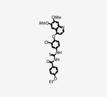 CCOc1ccc(C(=O)NC(=S)Nc2ccc(Oc3ccnc4cc(OC)c(OC)cc34)c(Cl)c2)cc1